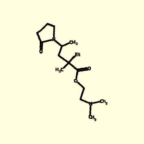 CCC(C)(CC(C)N1CCCC1=O)C(=O)OCCN(C)C